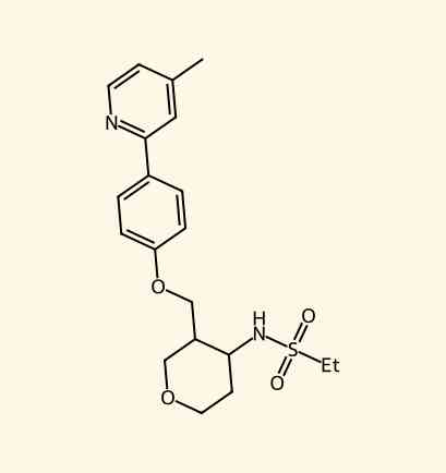 CCS(=O)(=O)NC1CCOCC1COc1ccc(-c2cc(C)ccn2)cc1